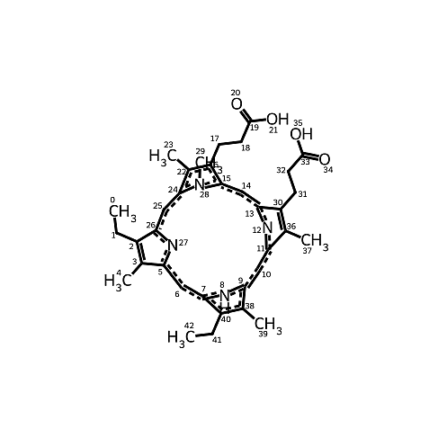 CCC1=C(C)c2cc3[nH]c(cc4nc(cc5c(CCC(=O)O)c(C)c(cc1n2)n5C)C(CCC(=O)O)=C4C)c(C)c3CC